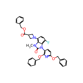 Cn1c(=O)n(-c2ccc(OCc3ccccc3)nc2OCc2ccccc2)c2c(F)ccc(N3CC(C(=O)OCc4ccccc4)C3)c21